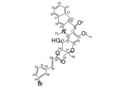 COc1cc2c(c3c1c(=O)c1cc4ccccc4cc1n3C)C(O)C(OC(=O)/C=C/c1cccc(Br)c1)C(C)(C)O2